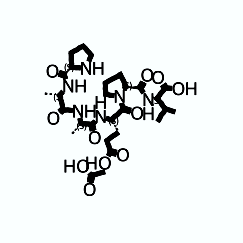 CC(=O)O.CC(C)[C@H](NC(=O)[C@@H]1CCCN1C(=O)[C@H](CCC(=O)O)NC(=O)[C@H](C)NC(=O)[C@H](C)NC(=O)[C@@H]1CCCN1)C(=O)O